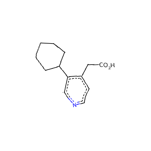 O=C(O)Cc1ccn[c]c1C1CCCCC1